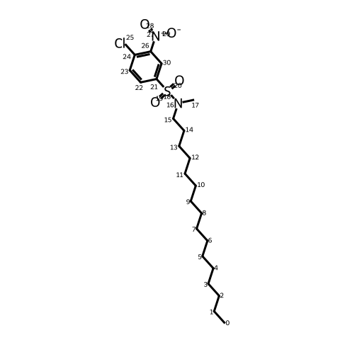 CCCCCCCCCCCCCCCCN(C)S(=O)(=O)c1ccc(Cl)c([N+](=O)[O-])c1